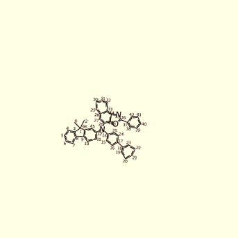 CC1(C)c2ccccc2-c2ccc(N(c3ccc(-c4ccccc4)cc3)c3cc4ccccc4c4nc(-c5ccccc5)oc34)cc21